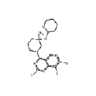 C[C@]1(OC2CCCCO2)CCCN(c2nc(Cl)nc3c(F)c(Cl)ncc23)C1